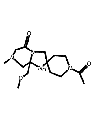 COCC12CN(C)CC(=O)N1CC1(CCN(C(C)=O)CC1)N2